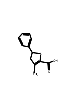 CC1=C(C(=O)O)SC(c2ccccc2)C1